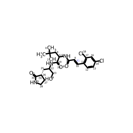 CC(C)(C)CC(NC(=O)/C=C/c1ccc(Cl)cc1Cl)C(=O)NC(CO)C[C@@H]1CCNC1=O